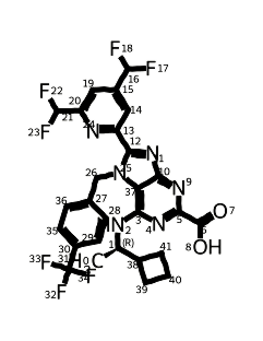 C[C@@H](Nc1nc(C(=O)O)nc2nc(-c3cc(C(F)F)cc(C(F)F)n3)n(Cc3ccc(C(F)(F)F)cc3)c12)C1CCC1